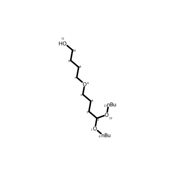 CCCCOC(CCCOCCCCO)OCCCC